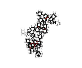 CC1(C)c2ccccc2-c2ccc(N(c3ccccc3-c3cccc(-c4cccc(-c5ccc(N6c7ccccc7C7(c8ccccc8-c8c(N(c9ccc%10c(c9)C(C)(C)c9ccccc9-%10)c9ccccc9-c9ccccc9-c9ccccc9)cccc87)c7ccccc76)cc5)c4)c3)c3cccc4c3-c3ccccc3C43c4ccccc4N(c4ccccc4)c4ccccc43)cc21